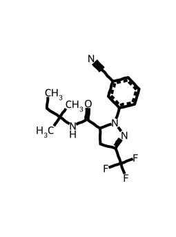 CCC(C)(C)NC(=O)C1CC(C(F)(F)F)=NN1c1cccc(C#N)c1